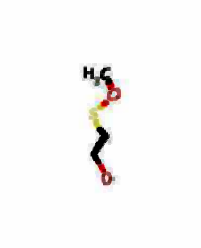 COSCC[O]